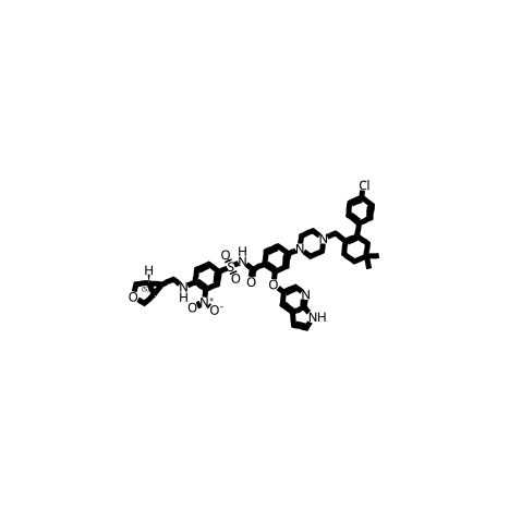 CC1(C)CCC(CN2CCN(c3ccc(C(=O)NS(=O)(=O)c4ccc(NCC5C6COC[C@@H]56)c([N+](=O)[O-])c4)c(Oc4cnc5[nH]ccc5c4)c3)CC2)=C(c2ccc(Cl)cc2)C1